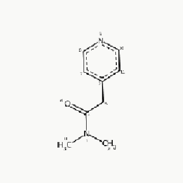 CN(C)C(=O)Cc1ccncc1